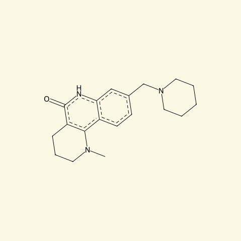 CN1CCCc2c1c1ccc(CN3CCCCC3)cc1[nH]c2=O